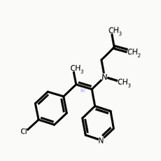 C=C(C)CN(C)/C(=C(\C)c1ccc(Cl)cc1)c1ccncc1